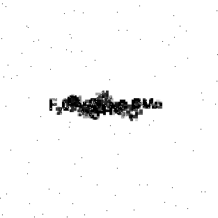 COc1cccc(CC(=O)N/N=C/c2ccccc2OS(=O)(=O)c2ccc(-c3cc(C(F)(F)F)on3)s2)c1